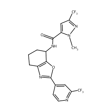 Cn1nc(C(F)(F)F)cc1C(=O)NC1CCCc2nc(-c3ccnc(C(F)(F)F)c3)oc21